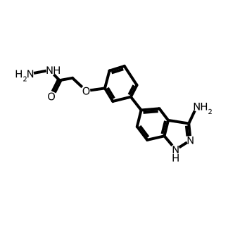 NNC(=O)COc1cccc(-c2ccc3[nH]nc(N)c3c2)c1